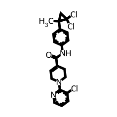 CC1(c2ccc(NC(=O)C3=CCN(c4ncccc4Cl)CC3)cc2)CC1(Cl)Cl